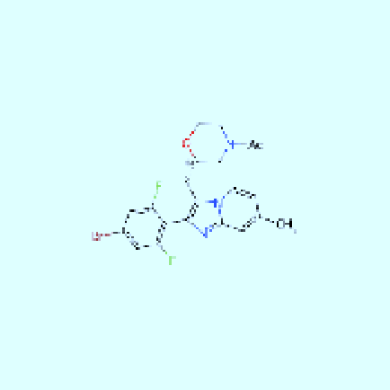 CC(=O)N1CCO[C@@H](Cc2c(-c3c(F)cc(Br)cc3F)nc3cc(C)ccn23)C1